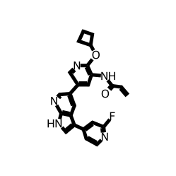 C=CC(=O)Nc1cc(-c2cnc3[nH]cc(-c4ccnc(F)c4)c3c2)cnc1OC1CCC1